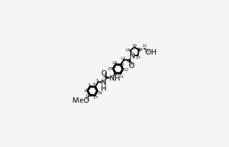 COc1ccc(CNC(=O)Nc2ccc(CC(=O)N3CC[C@H](CO)C3)cc2)cc1